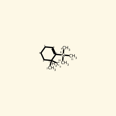 CC1(C)CCCC=C1[Si](C)(C)C